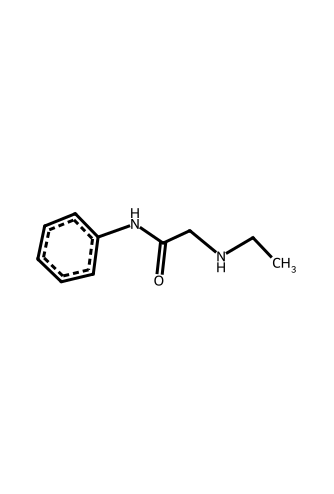 CCNCC(=O)Nc1ccccc1